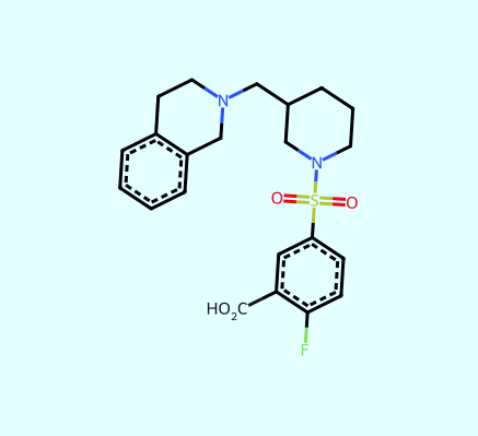 O=C(O)c1cc(S(=O)(=O)N2CCCC(CN3CCc4ccccc4C3)C2)ccc1F